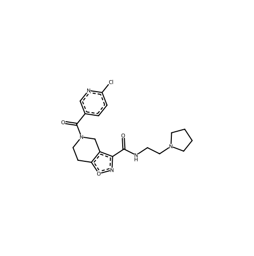 O=C(NCCN1CCCC1)c1noc2c1CN(C(=O)c1ccc(Cl)nc1)CC2